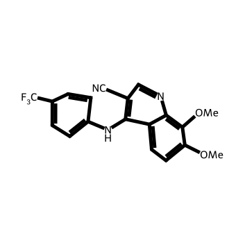 COc1ccc2c(Nc3ccc(C(F)(F)F)cc3)c(C#N)cnc2c1OC